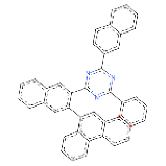 c1ccc(-c2nc(-c3ccc4ccccc4c3)nc(-c3cc4ccccc4cc3-c3cc4ccccc4c4ccccc34)n2)cc1